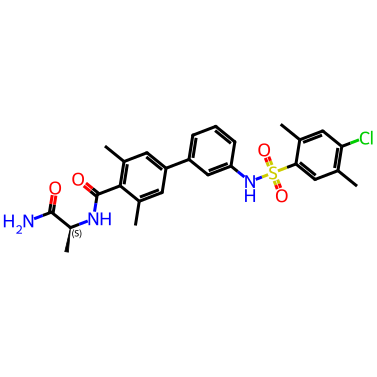 Cc1cc(S(=O)(=O)Nc2cccc(-c3cc(C)c(C(=O)N[C@@H](C)C(N)=O)c(C)c3)c2)c(C)cc1Cl